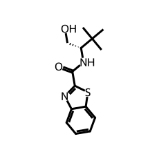 CC(C)(C)[C@@H](CO)NC(=O)c1nc2ccccc2s1